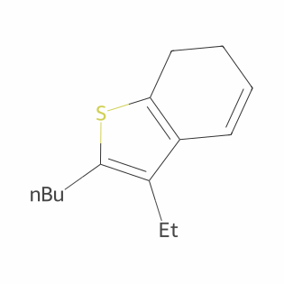 CCCCc1sc2c(c1CC)C=CCC2